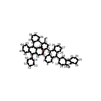 Cc1cc(-c2c3ccccc3c(-c3ccc4sc5ccccc5c4c3)c3ccccc23)c(C)cc1-c1ccccc1-c1c2ccccc2c(-c2ccccc2)c2ccccc12